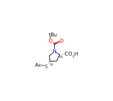 CC(=O)S[C@H]1C[C@@H](C(=O)O)N(C(=O)OC(C)(C)C)C1